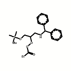 CCC(=O)OOC(CNC(c1ccccc1)c1ccccc1)CO[Si](C)(C)C(C)(C)C